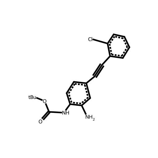 CC(C)(C)OC(=O)Nc1ccc(C#Cc2ccccc2Cl)cc1N